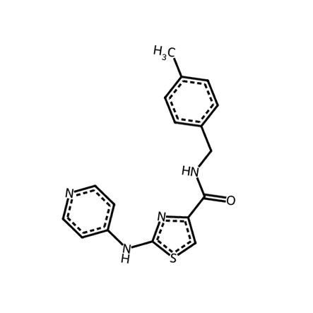 Cc1ccc(CNC(=O)c2csc(Nc3ccncc3)n2)cc1